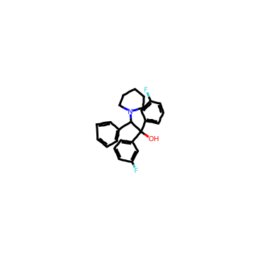 OC(c1cccc(F)c1)(c1cccc(F)c1)C(c1ccccc1)N1CCCCC1